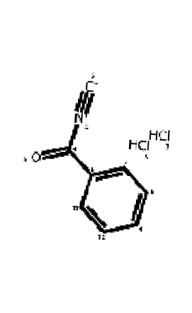 Cl.Cl.[C-]#[N+]C(=O)c1ccccc1